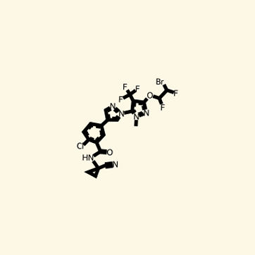 Cn1nc(OC(F)C(F)Br)c(C(F)(F)F)c1-n1cc(-c2ccc(Cl)c(C(=O)NC3(C#N)CC3)c2)cn1